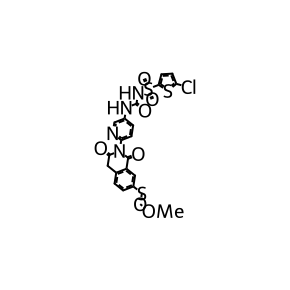 COOSc1ccc2c(c1)C(=O)N(c1ccc(NC(=O)NS(=O)(=O)c3ccc(Cl)s3)cn1)C(=O)C2